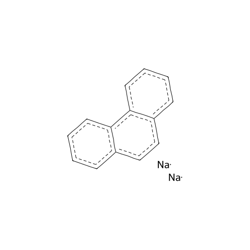 [Na].[Na].c1ccc2c(c1)ccc1ccccc12